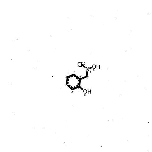 Oc1ccccc1CN(O)Cl